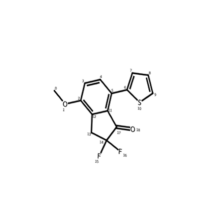 COc1ccc(-c2cccs2)c2c1CC(F)(F)C2=O